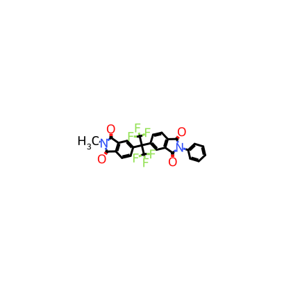 CN1C(=O)c2ccc(C(c3ccc4c(c3)C(=O)N(c3ccccc3)C4=O)(C(F)(F)F)C(F)(F)F)cc2C1=O